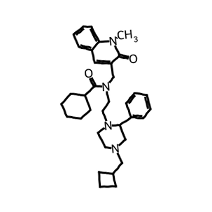 Cn1c(=O)c(CN(CCN2CCN(CC3CCC3)CC2c2ccccc2)C(=O)C2CCCCC2)cc2ccccc21